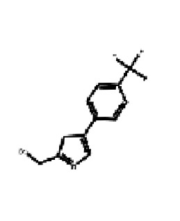 FC(F)(F)c1ccc(C2=CN=C(CBr)C2)cc1